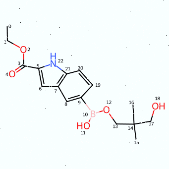 CCOC(=O)c1cc2cc(B(O)OCC(C)(C)CO)ccc2[nH]1